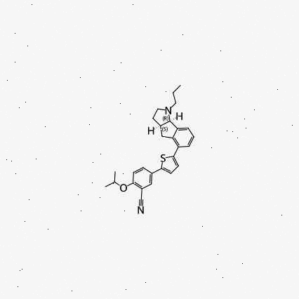 CCCN1CC[C@@H]2Cc3c(-c4ccc(-c5ccc(OC(C)C)c(C#N)c5)s4)cccc3[C@@H]21